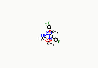 CCOCC(C)N/C(=N/C(=O)c1ccc(F)c(F)c1)NC(CC(N=O)c1ccc(F)cc1)NC